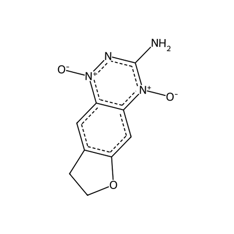 Nc1n[n+]([O-])c2cc3c(cc2[n+]1[O-])OCC3